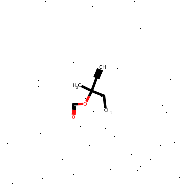 C#CC(C)(CC)O[C]=O